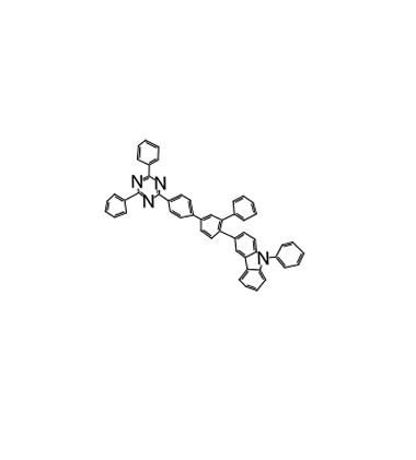 c1ccc(-c2nc(-c3ccccc3)nc(-c3ccc(-c4ccc(-c5ccc6c(c5)c5ccccc5n6-c5ccccc5)c(-c5ccccc5)c4)cc3)n2)cc1